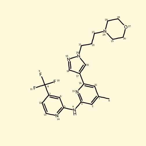 Cc1cc(Nc2cc(C(F)(F)F)ccn2)nc(-c2cnn(CCCN3CCOCC3)c2)c1